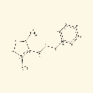 CN1CC[N+](C)=C1SCC[n+]1ccccc1